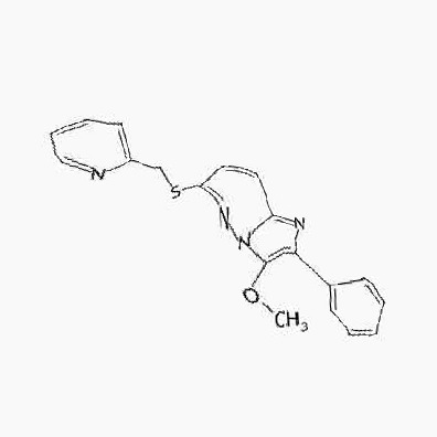 COc1c(-c2ccccc2)nc2ccc(SCc3ccccn3)nn12